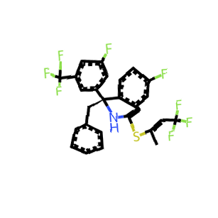 C=C(N[C@@](Cc1ccccc1)(c1ccc(F)cc1)c1cc(F)cc(C(F)(F)F)c1)S/C(C)=C/C(F)(F)F